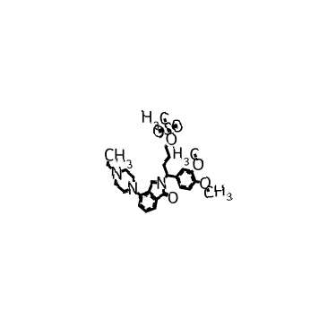 CCN1CCN(c2cccc3c2CN(C(CCCOS(C)(=O)=O)c2ccc(OC)c(OC)c2)C3=O)CC1